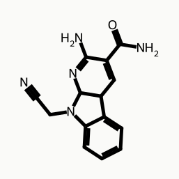 N#CCN1c2ccccc2C2C=C(C(N)=O)C(N)=NC21